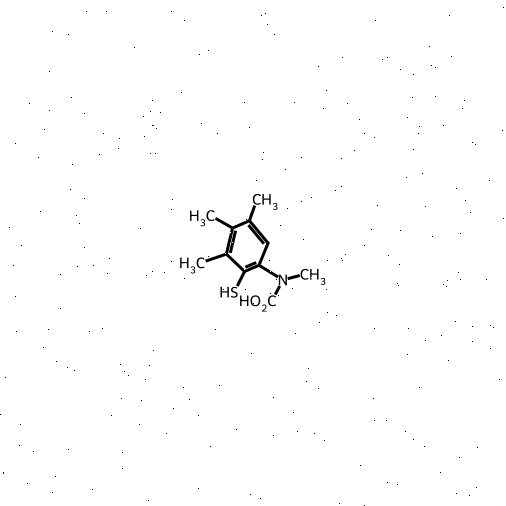 Cc1cc(N(C)C(=O)O)c(S)c(C)c1C